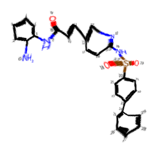 Nc1ccccc1NC(=O)/C=C/c1ccc(NS(=O)(=O)c2ccc(-c3ccccc3)cc2)nc1